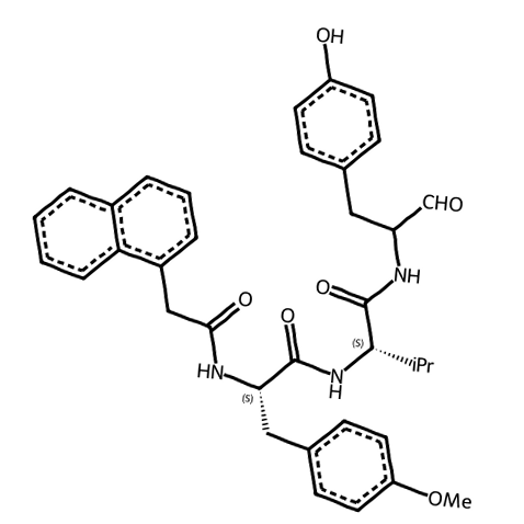 COc1ccc(C[C@H](NC(=O)Cc2cccc3ccccc23)C(=O)N[C@H](C(=O)NC(C=O)Cc2ccc(O)cc2)C(C)C)cc1